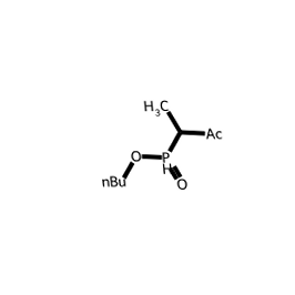 CCCCO[PH](=O)C(C)C(C)=O